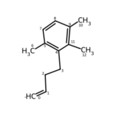 [CH]=CCCc1c(C)ccc(C)c1C